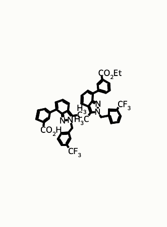 CCOC(=O)c1cccc(-c2cccc3c(C)n(Cc4cccc(C(F)(F)F)c4)nc23)c1.Cc1c2cccc(-c3cccc(C(=O)O)c3)c2nn1Cc1cccc(C(F)(F)F)c1